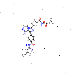 Nc1nccn2c([C@@H]3CC[C@H](C(=O)NOC(=O)C4CC4)C3)nc(-c3ccc(C(=O)Nc4cc(C(F)(F)F)ccn4)cc3)c12